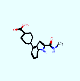 CNC(=O)c1cc2c(C3CCC(C(=O)O)CC3)cccc2[nH]1